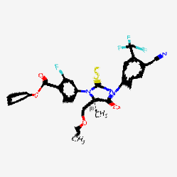 CCOC[C@]1(C)C(=O)N(c2ccc(C#N)c(C(F)(F)F)c2)C(=S)N1c1ccc(C(=O)OC2CC2)c(F)c1